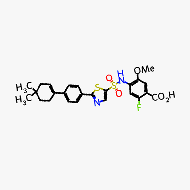 COc1cc(C(=O)O)c(F)cc1NS(=O)(=O)c1cnc(-c2ccc(C3=CCC(C)(C)CC3)cc2)s1